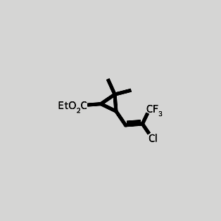 CCOC(=O)C1C(/C=C(/Cl)C(F)(F)F)C1(C)C